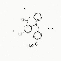 COc1ccc(CN2c3ccccc3CC(=O)c3cc(Cl)ccc32)cc1